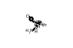 CC(C)n1cnc2c(NCc3ccc(Cl)cc3)nc(NCCN)nc21